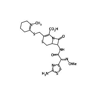 CON=C(C(=O)NC1C(=O)N2C(C(=O)O)=C(CSC3=[N+](C)CCCC3)SCC12)c1csc(N)n1